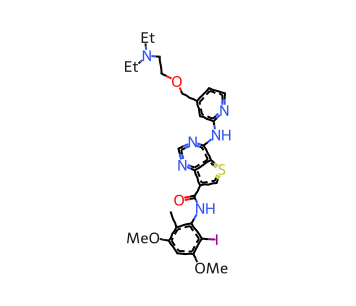 CCN(CC)CCOCc1ccnc(Nc2ncnc3c(C(=O)Nc4c(C)c(OC)cc(OC)c4I)csc23)c1